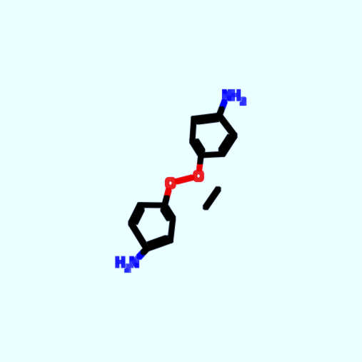 CC.Nc1ccc(OOc2ccc(N)cc2)cc1